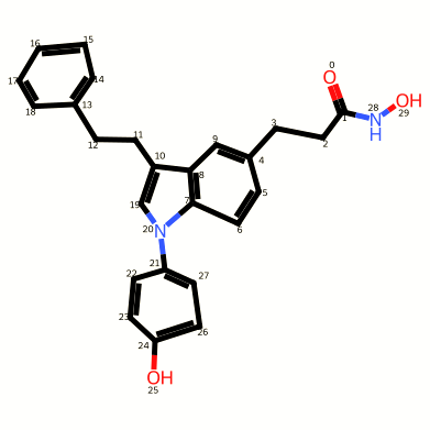 O=C(CCc1ccc2c(c1)c(CCc1ccccc1)cn2-c1ccc(O)cc1)NO